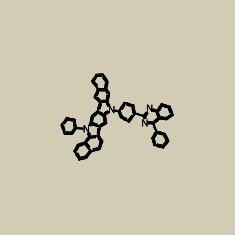 c1ccc(-c2nc(-c3ccc(-n4c5cc6ccccc6cc5c5cc6c(cc54)c4ccc5ccccc5c4n6-c4ccccc4)cc3)nc3ccccc23)cc1